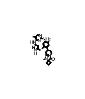 CNC1(C(=O)N2CCC(c3cc(F)c(Nc4ncc(C)c(Nc5cc(C)[nH]n5)n4)cc3C)CC2)CCC1